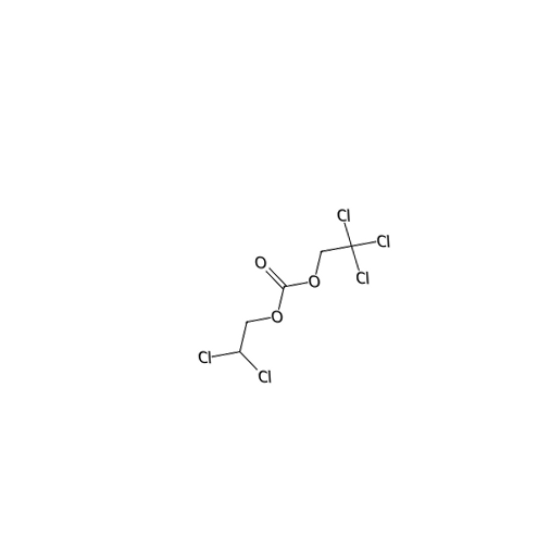 O=C(OCC(Cl)Cl)OCC(Cl)(Cl)Cl